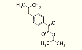 CC(C)Cc1ccc(C(=O)C(=O)OC(C)C)cc1